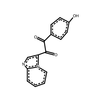 O=C(C(=O)c1cnc2ccccn12)c1ccc(O)cc1